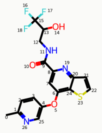 Cc1ccc(Oc2cc(C(=O)NCC(O)C(F)(F)F)nc3ccsc23)cn1